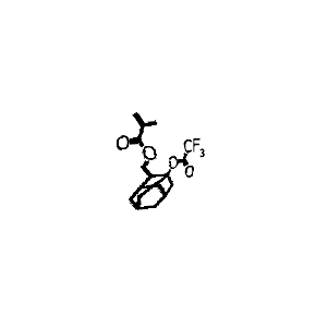 C=C(C)C(=O)OCC1C2CC3CC(C2)CC1(OC(=O)C(F)(F)F)C3